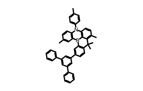 Cc1ccc(N2c3ccc(C)cc3B3c4cc(-c5cc(-c6ccccc6)cc(-c6ccccc6)c5)ccc4C(C)(C)c4c(C)ccc2c43)cc1